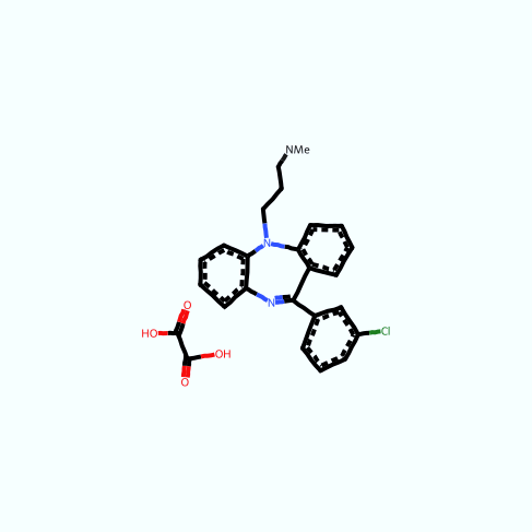 CNCCCN1c2ccccc2N=C(c2cccc(Cl)c2)c2ccccc21.O=C(O)C(=O)O